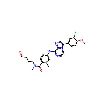 COC1C=CC(c2cnc3c(Nc4ccc(C(=O)N(C)CCCC=O)c(C)c4)nccn23)=CC1F